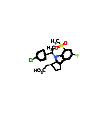 CC(c1ccc(Cl)cc1)n1c2c(c3cc(F)cc(S(C)(=O)=O)c31)CC[C@@H]2CC(=O)O